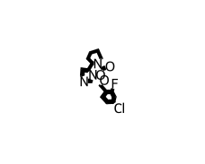 O=C(OOCc1ccc(Cl)cc1F)N1CCCCC1c1ccncn1